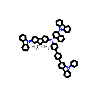 CC1(C)c2cc(N(c3ccc(-c4ccc(-c5ccc6c7ccccc7n(-c7ccccc7)c6c5)cc4)cc3)c3ccc(-n4c5ccccc5c5ccccc54)c4ccccc34)ccc2-c2ccc(-n3c4ccccc4c4ccccc43)cc21